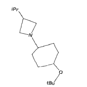 CC(C)C1CN(C2CCC(OC(C)(C)C)CC2)C1